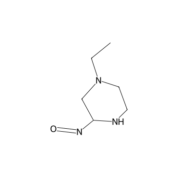 CCN1CCNC(N=O)C1